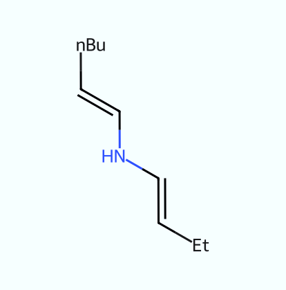 CCC=CNC=CCCCC